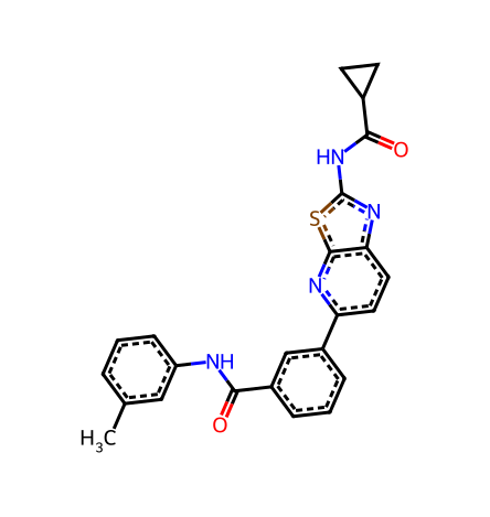 Cc1cccc(NC(=O)c2cccc(-c3ccc4nc(NC(=O)C5CC5)sc4n3)c2)c1